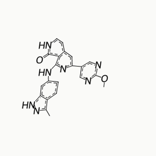 COc1ncc(-c2cc3cc[nH]c(=O)c3c(Nc3ccc4c(C)n[nH]c4c3)n2)cn1